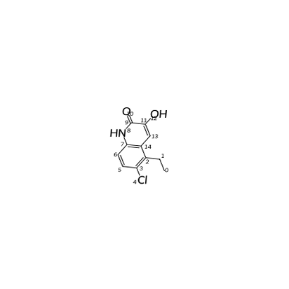 CCc1c(Cl)ccc2[nH]c(=O)c(O)cc12